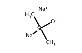 C[Si](C)([O-])[Na].[Na+]